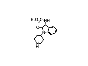 CCOC(=O)NC1C(=O)N(C2CCNCC2)c2ccccc21